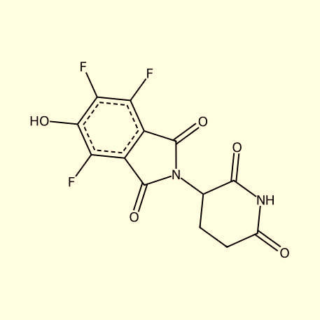 O=C1CCC(N2C(=O)c3c(F)c(O)c(F)c(F)c3C2=O)C(=O)N1